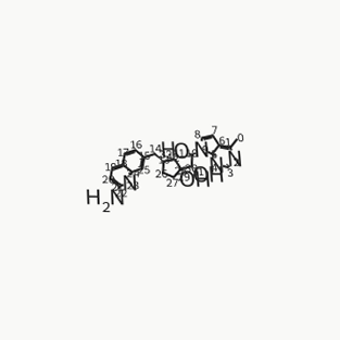 Cc1ncnc2c1ccn2[C@@H]1O[C@@H]2[C@H](Cc3ccc4ccc(N)nc4c3)CC[C@]2(O)C1O